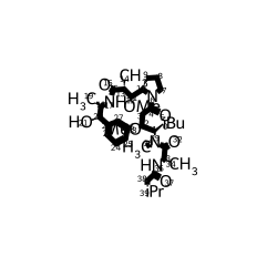 CC[C@H](C)[C@@H]([C@@H](CC(=O)N1CCC[C@H]1[C@H](OC)[C@@H](C)C(=O)N[C@H](C)[C@@H](O)c1ccccc1)OC)N(C)C(=O)[C@H](C)NC(=O)CC(C)C